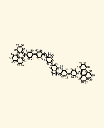 Cc1cc(-c2ccc(Nc3ccc(-c4ccc(N(c5ccccc5)c5cccc6ccccc56)cc4)cc3)c(C)c2)ccc1Nc1ccc(-c2ccc(N(c3ccccc3)c3cccc4ccccc34)cc2)cc1